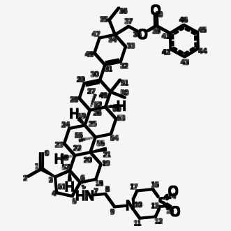 C=C(C)[C@@H]1CC[C@]2(NCCN3CCS(=O)(=O)CC3)CC[C@]3(C)[C@H](CC[C@@H]4[C@@]5(C)CC=C(C6=CCC(CC)(COC(=O)c7ccccc7)CC6)C(C)(C)[C@@H]5CC[C@]43C)[C@@H]12